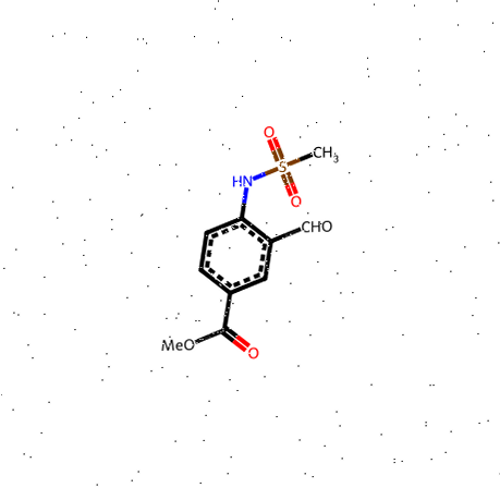 COC(=O)c1ccc(NS(C)(=O)=O)c(C=O)c1